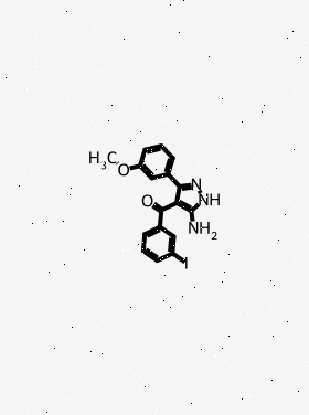 COc1cccc(-c2n[nH]c(N)c2C(=O)c2cccc(I)c2)c1